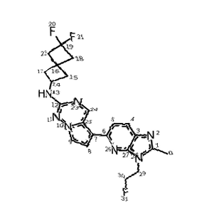 Cc1nc2ccc(-c3ccn4nc(NC5CC6(C5)CC(F)(F)C6)ncc34)nc2n1CCF